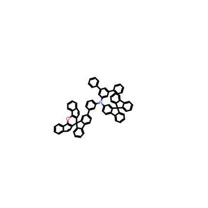 c1ccc(-c2cc(-c3ccccc3)cc(N(c3cccc(-c4ccc5c(c4)C4(c6ccccc6-5)c5ccc6ccccc6c5Oc5c4ccc4ccccc54)c3)c3ccc4c(c3)C3(c5ccccc5-c5ccccc53)c3ccccc3-4)c2)cc1